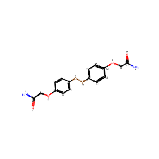 NC(=O)COc1ccc(SSc2ccc(OCC(N)=O)cc2)cc1